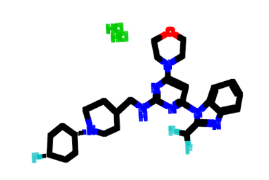 Cl.Cl.FC(F)c1nc2ccccc2n1-c1cc(N2CCOCC2)nc(NCC2CCN([C@H]3CC[C@@H](F)CC3)CC2)n1